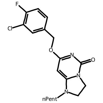 CCCCCN1CCn2c1cc(OCc1ccc(F)c(Cl)c1)nc2=O